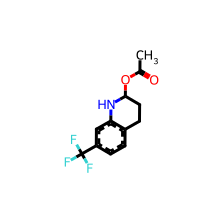 CC(=O)OC1CCc2ccc(C(F)(F)F)cc2N1